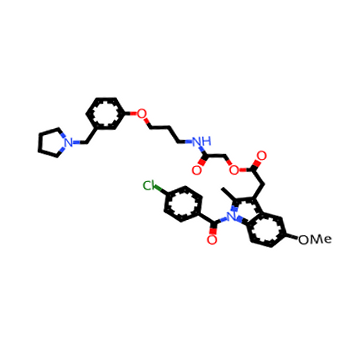 COc1ccc2c(c1)c(CC(=O)OCC(=O)NCCCOc1cccc(CN3CCCC3)c1)c(C)n2C(=O)c1ccc(Cl)cc1